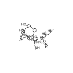 CNCCC[C@@H](CNC(=O)C[C@H](CCCNC)NC(=O)[C@H](CCCNC)NC(=O)[C@@H]1Cc2cccc(c2)-c2ccc(O)c(c2)C[C@H](NC)C(=O)N[C@@H](CCCNC)C(=O)N1)NC